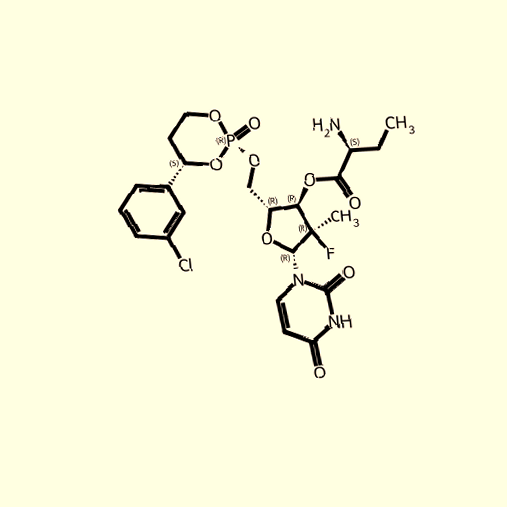 CC[C@H](N)C(=O)O[C@@H]1[C@@H](CO[P@@]2(=O)OCC[C@@H](c3cccc(Cl)c3)O2)O[C@@H](n2ccc(=O)[nH]c2=O)[C@]1(C)F